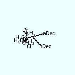 CCCCCCCCCCCCCCCCCCC(CCCCCCCCCCCCCCCCCC)CCCCC(CCC(C)CCCC(C)C)[n+]1c(C)c(C)n(C)c1C.[Cl-]